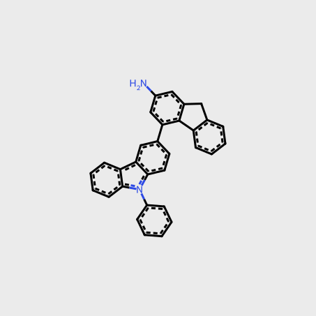 Nc1cc2c(c(-c3ccc4c(c3)c3ccccc3n4-c3ccccc3)c1)-c1ccccc1C2